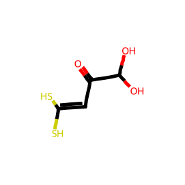 O=C(C=C(S)S)C(O)O